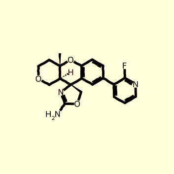 C[C@]12CCOC[C@@H]1[C@]1(COC(N)=N1)c1cc(-c3cccnc3F)ccc1O2